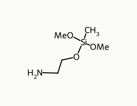 CO[Si](C)(OC)OCCN